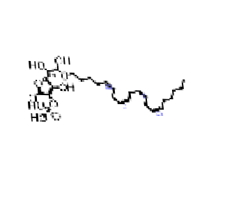 CCCCC/C=C\C/C=C\C/C=C\C/C=C\CCCCOC(O)[C@H](O)[C@H]1OC(=O)C(OP(=O)(O)O)=C1O